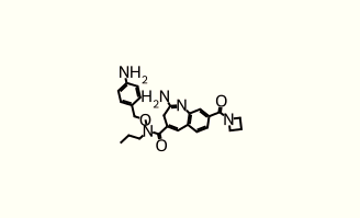 CCCN(OCc1ccc(N)cc1)C(=O)C1=Cc2ccc(C(=O)N3CCC3)cc2N=C(N)C1